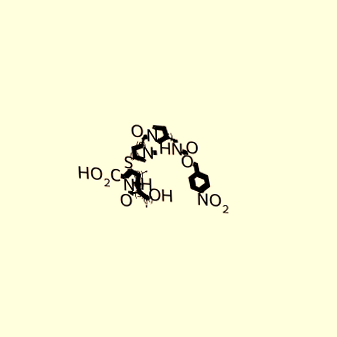 C[C@@H](O)[C@H]1C(=O)N2C(C(=O)O)=C(S[C@H]3C[C@@H](C(=O)N4CC[C@@H](CNC(=O)OCc5ccc([N+](=O)[O-])cc5)C4)N(C)C3)[C@H](C)[C@H]12